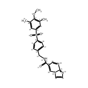 COc1c(C)cc(S(=O)(=O)c2ccc(CNC(=O)c3cnc4nccn4c3)cc2)cc1C